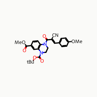 COC(=O)c1ccc2c(c1)N(C(=O)OC(C)(C)C)CCN2C(=O)C(C#N)=Cc1ccc(OC)cc1